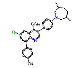 COc1c(-c2ccc(N3CC(C)CCC(C)C3)cc2)cnc2c(-c3ccc(C#N)cc3)cc(Cl)cc12